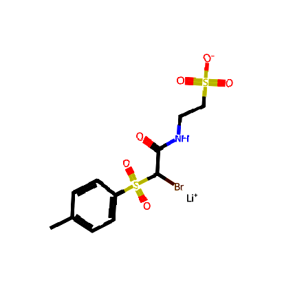 Cc1ccc(S(=O)(=O)C(Br)C(=O)NCCS(=O)(=O)[O-])cc1.[Li+]